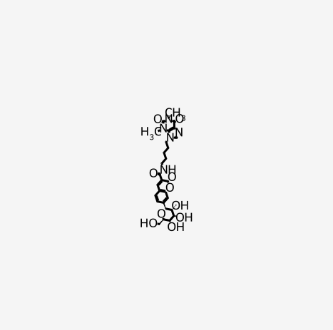 Cn1c(=O)c2ncn(CCCCCNC(=O)c3cc4ccc([C@@H]5O[C@H](CO)[C@H](O)[C@H](O)[C@H]5O)cc4oc3=O)c2n(C)c1=O